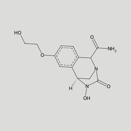 NC(=O)C1c2ccc(OCCO)cc2[C@H]2CN1C(=O)N2O